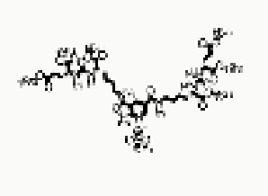 CC(C)(C)OC(=O)CC[C@H](NC(=O)N[C@@H](CCCCNC(=O)c1cnc([N+](C)(C)C)c(C(=O)NCCCC[C@H](NC(=O)N[C@@H](CCC(=O)OC(C)(C)C)C(=O)OC(C)(C)C)C(=O)OC(C)(C)C)c1)C(=O)OC(C)(C)C)C(=O)OC(C)(C)C.O=S(=O)([O-])C(F)(F)F